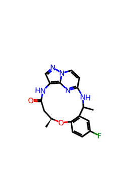 CC1Nc2ccn3ncc(c3n2)NC(=O)C[C@H](C)Oc2ccc(F)cc21